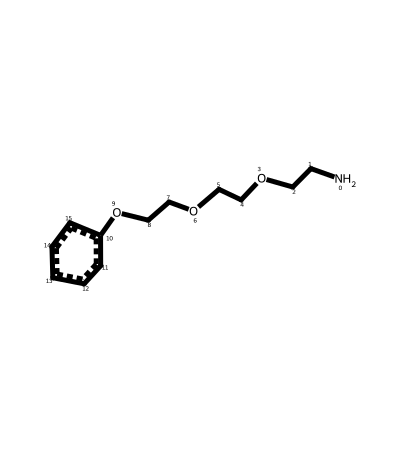 NCCOCCOCCOc1ccccc1